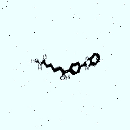 O=C(CCCCC(O)c1ccc(-c2nc3ccccc3s2)cc1)NO